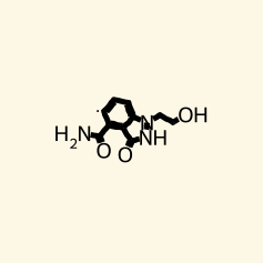 NC(=O)c1[c]ccc2c1c(=O)[nH]n2CCO